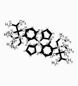 CC[N+](c1ccc(F)[c]([Ti]([C]2=CC=CC2)([C]2=CC=CC2)[c]2c(F)ccc([N+](CC)([SiH](C)C)C(C)(C)C(C)C)c2F)c1F)([SiH](C)C)C(C)(C)C(C)C